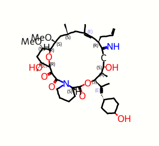 C=CC[C@@H]1/C=C(\C)C[C@H](C)C[C@H](OC)[C@H]2O[C@@](O)(C(=O)C(=O)N3CCCC[C@H]3C(=O)O[C@H](/C(C)=C/[C@H]3CC[C@H](O)CC3)[C@H](C)[C@@H](O)CC1=N)[C@H](C)C[C@@H]2OC